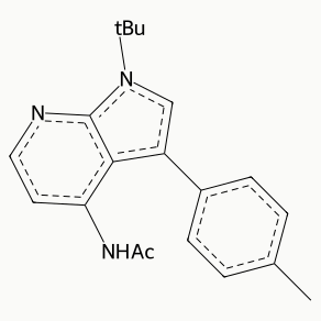 CC(=O)Nc1ccnc2c1c(-c1ccc(C)cc1)cn2C(C)(C)C